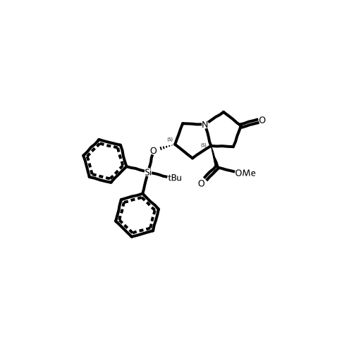 COC(=O)[C@]12CC(=O)CN1C[C@@H](O[Si](c1ccccc1)(c1ccccc1)C(C)(C)C)C2